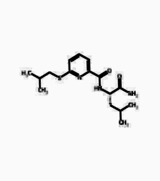 CC(C)CSc1cccc(C(=O)N[C@@H](CC(C)C)C(N)=O)n1